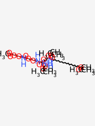 COC(=O)COCCOCCNC(=O)COCCOCCNC(=O)CC(CC(=O)OC(C)(C)C)NC(=O)CC[C@H](NC(=O)CCCCCCCCCCCCCCCCC(=O)OC(C)(C)C)C(=O)OC(C)(C)C